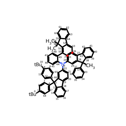 CC(C)(C)c1ccc(C2(c3ccc(C(C)(C)C)cc3)c3ccccc3-c3ccc(N(c4ccc5c(c4)C(C)(c4ccccc4)c4ccccc4-5)c4ccccc4-c4cccc5c4C(C)(C)c4ccccc4-5)cc32)cc1